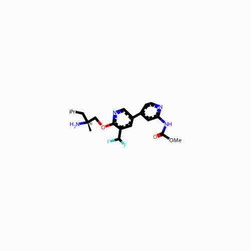 COC(=O)Nc1cc(-c2cnc(OC[C@](C)(N)CC(C)C)c(C(F)F)c2)ccn1